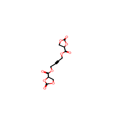 O=C1OCC(C(=O)OCC#CCOC(=O)C2COC(=O)O2)O1